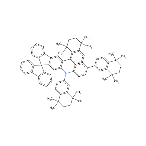 CC1(C)CCC(C)(C)c2cc(-c3ccc(N(c4ccc5c(c4)C(C)(C)CCC5(C)C)c4cc5c(cc4-c4cccc6c4C(C)(C)CCC6(C)C)-c4ccccc4C54c5ccccc5-c5ccccc54)cc3)ccc21